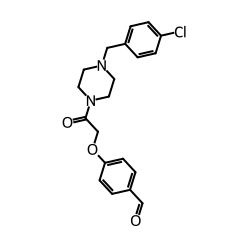 O=Cc1ccc(OCC(=O)N2CCN(Cc3ccc(Cl)cc3)CC2)cc1